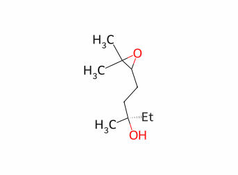 CC[C@@](C)(O)CCC1OC1(C)C